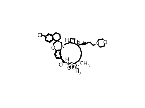 C[C@@H]1[C@@H](C)CCC[C@](O)(C#CCCN2CCOCC2)[C@@H]2CC[C@H]2CN2C[C@@]3(CCCc4cc(Cl)ccc43)COc3ccc(cc32)C(=O)NS1(=O)=O